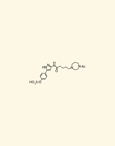 CC(=O)N1CCCN(CCCCC(=O)Nc2cc(-c3ccc(OS(=O)(=O)O)cc3)[nH]n2)CC1